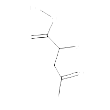 COC(=O)C(Br)CC(C)=O